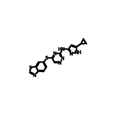 c1nc2ccc(Sc3cnnc(Nc4cc(C5CC5)[nH]n4)n3)cc2s1